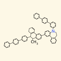 CC1c2ccc(-c3ccc4c(c3)-c3ccccc3CCN4c3cccc(-c4ccc(-c5ccccc5)cc4)c3)cc2C2=C(CCC=C2)C1c1ccc(-c2ccc(-c3ccccc3)cc2)cc1